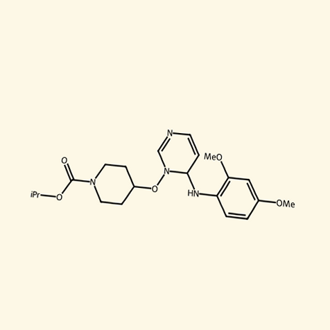 COc1ccc(NC2C=CN=CN2OC2CCN(C(=O)OC(C)C)CC2)c(OC)c1